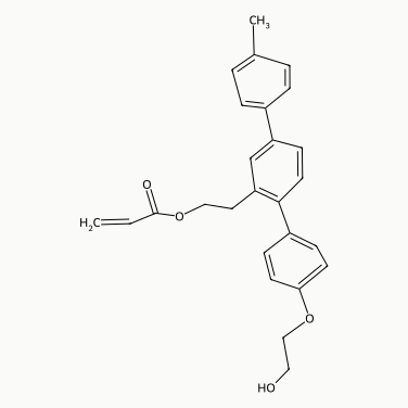 C=CC(=O)OCCc1cc(-c2ccc(C)cc2)ccc1-c1ccc(OCCO)cc1